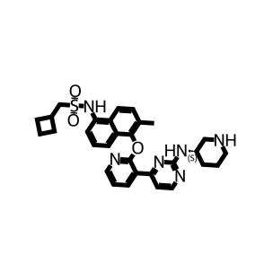 Cc1ccc2c(NS(=O)(=O)CC3CCC3)cccc2c1Oc1ncccc1-c1ccnc(N[C@H]2CCCNC2)n1